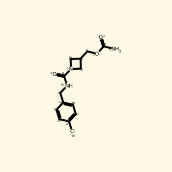 NC(=O)OCC1CN(C(=O)NCc2ccc(Cl)cc2)C1